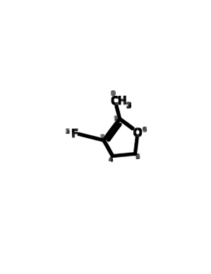 CC1=C(F)CCO1